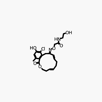 Cc1cc(O)c(Cl)c2c1C(=O)OCC/C=C/CC/C=C/C(=N\OCC(=O)NCCO)C2